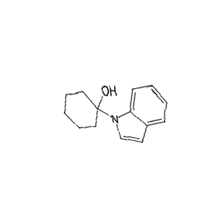 OC1(n2ccc3ccccc32)CCCCC1